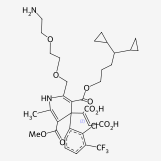 COC(=O)C1=C(C)NC(COCCOCCN)=C(C(=O)OCCCC(C2CC2)C2CC2)C1(/C(=C/C(=O)O)C(=O)O)c1cccc(C(F)(F)F)c1Cl